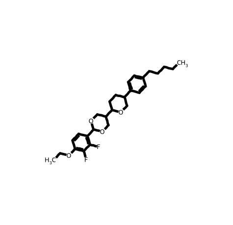 CCCCCc1ccc(C2CCC(C3COC(c4ccc(OCC)c(F)c4F)OC3)OC2)cc1